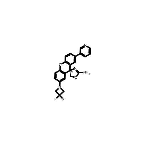 NC1=N[C@@]2(CO1)c1cc(-c3cccnc3)ccc1Oc1ccc(N3CC(F)(F)C3)cc12